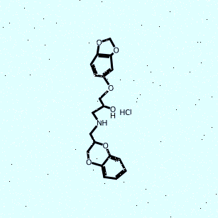 Cl.OC(CNCC1COc2ccccc2O1)COc1ccc2c(c1)OCO2